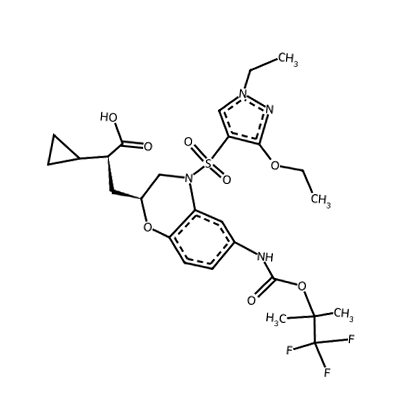 CCOc1nn(CC)cc1S(=O)(=O)N1C[C@H](C[C@H](C(=O)O)C2CC2)Oc2ccc(NC(=O)OC(C)(C)C(F)(F)F)cc21